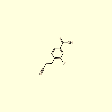 N#CCCc1ccc(C(=O)O)cc1Br